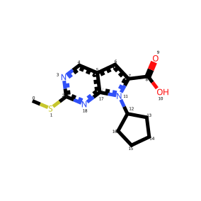 CSc1ncc2cc(C(=O)O)n(C3CCCC3)c2n1